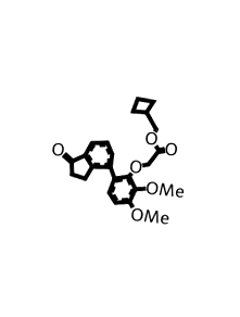 COc1ccc(-c2cccc3c2CCC3=O)c(OCC(=O)OCC2CCC2)c1OC